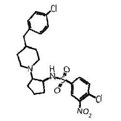 O=[N+]([O-])c1cc(S(=O)(=O)NC2CCCC2N2CCC(Cc3ccc(Cl)cc3)CC2)ccc1Cl